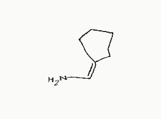 NC=C1CCCC1